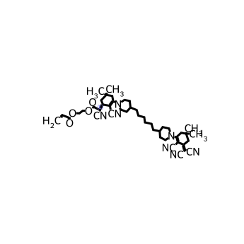 C=CC(=O)OCCOC(=O)/C(C#N)=C1\CC(C)(C)CC(N2CCC(CCCCCCC3CCN(C4=C(C#N)C(=C(C#N)C#N)CC(C)(C)C4)CC3)CC2)=C1C#N